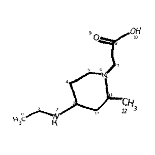 CCNC1CCN(CC(=O)O)C(C)C1